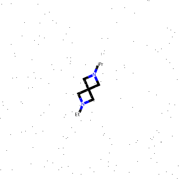 CCN1CC2(C1)CN(C(C)C)C2